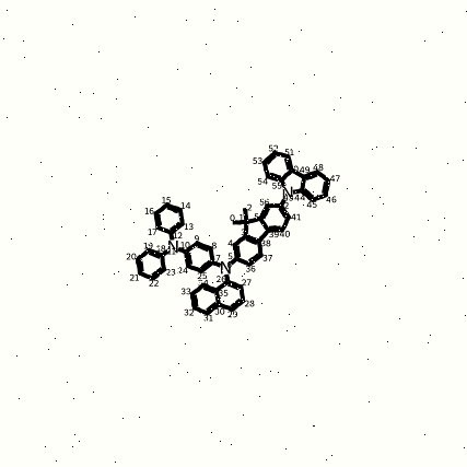 CC1(C)c2cc(N(c3ccc(N(c4ccccc4)c4ccccc4)cc3)c3cccc4ccccc34)ccc2-c2ccc(-n3c4ccccc4c4ccccc43)cc21